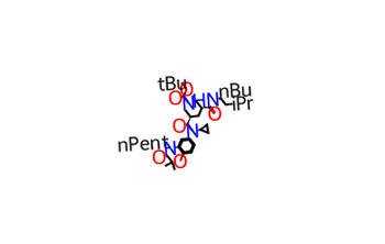 CCCCCN1C(=O)C(C)(C)Oc2ccc(N(C(=O)[C@@H]3C[C@H](C(=O)NC(CCCC)CC(C)C)CN(C(=O)OC(C)(C)C)C3)C3CC3)cc21